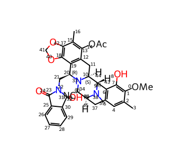 COc1c(C)cc2c(c1O)[C@H]1[C@@H]3Cc4c(OC(C)=O)c(C)c5c(c4[C@H](CN4C(=O)c6ccccc6C4O)N3[C@@H](C#N)[C@H](C2)N1C)OCO5